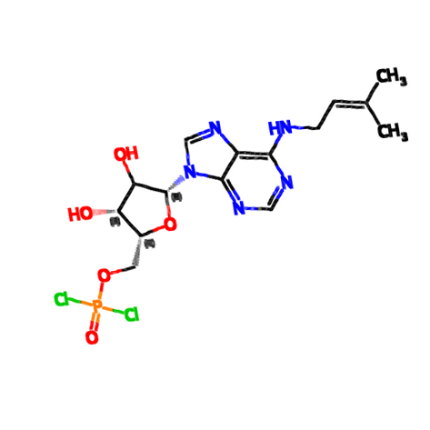 CC(C)=CCNc1ncnc2c1ncn2[C@@H]1O[C@H](COP(=O)(Cl)Cl)[C@H](O)C1O